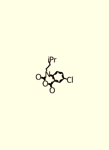 CC(C)CCn1c(=O)oc(=O)c2cc(Cl)ccc21